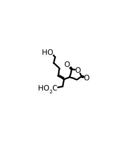 O=C(O)C/C(=C/CCCO)C1CC(=O)OC1=O